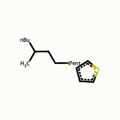 CCCCC(C)CCC(C)CCC.c1ccsc1